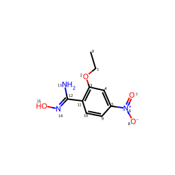 CCOc1cc([N+](=O)[O-])ccc1C(N)=NO